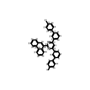 Cc1ccc(-c2cccc(-c3cc(-c4cccc(-c5ccc(C)cc5)c4)nc(-c4cc5ccccc5c5ccccc45)n3)c2)cc1